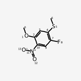 COc1cc(SC)c(F)cc1[N+](=O)[O-]